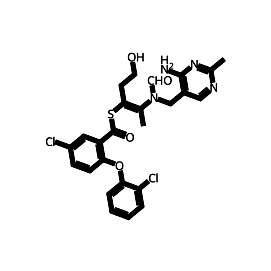 CC(=C(CCO)SC(=O)c1cc(Cl)ccc1Oc1ccccc1Cl)N(C=O)Cc1cnc(C)nc1N